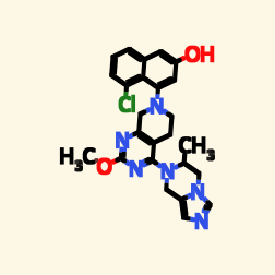 COc1nc2c(c(N3Cc4cncn4CC3C)n1)CCN(c1cc(O)cc3cccc(Cl)c13)C2